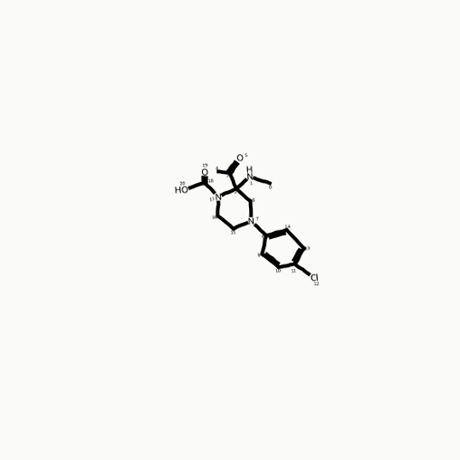 CNC1(C(C)=O)CN(c2ccc(Cl)cc2)CCN1C(=O)O